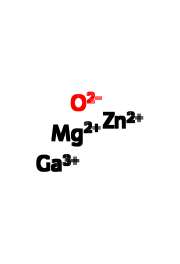 [Ga+3].[Mg+2].[O-2].[Zn+2]